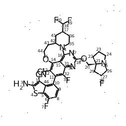 N#Cc1c(N)sc2c(F)ccc(-c3c(Cl)c4c5c(nc(OC[C@@]67CCCN6C[C@H](F)C7)nc5c3F)N3CCC(C(F)F)CC3CCO4)c12